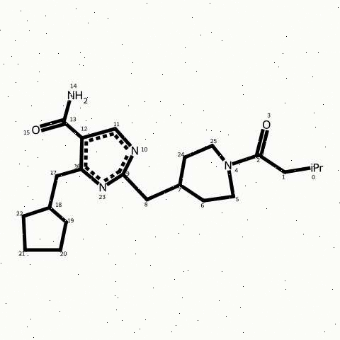 CC(C)CC(=O)N1CCC(Cc2ncc(C(N)=O)c(CC3CCCC3)n2)CC1